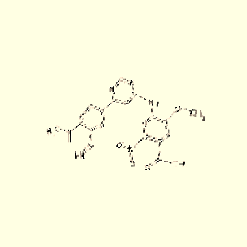 CNc1ccc(-c2cc(Nc3cc([N+](=O)[O-])c(C(C)=O)cc3OC)ncn2)cc1C=N